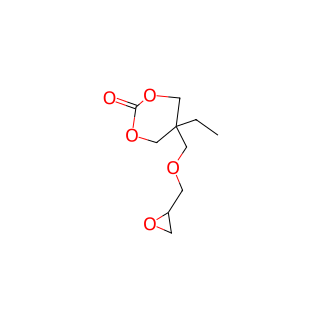 CCC1(COCC2CO2)COC(=O)OC1